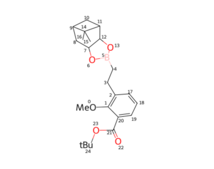 COc1c(CCB2OC3CC4CC(C3O2)C4(C)C)cccc1C(=O)OC(C)(C)C